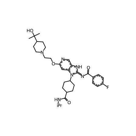 CC(C)NC(=O)C1CCC(n2/c(=N/C(=O)c3ccc(F)cc3)[nH]c3cnc(OCCN4CCC(C(C)(C)O)CC4)cc32)CC1